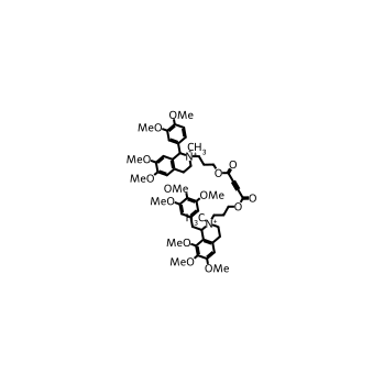 COc1ccc(C2c3cc(OC)c(OC)cc3CC[N+]2(C)CCCOC(=O)C#CC(=O)OCCC[N+]2(C)CCc3cc(OC)c(OC)c(OC)c3C2Cc2cc(OC)c(OC)c(OC)c2)cc1OC